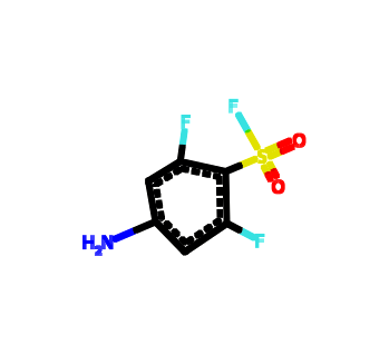 Nc1cc(F)c(S(=O)(=O)F)c(F)c1